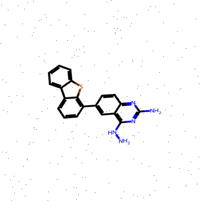 NNc1nc(N)nc2ccc(-c3cccc4c3sc3ccccc34)cc12